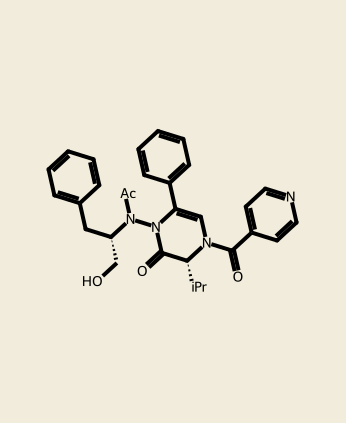 CC(=O)N([C@H](CO)Cc1ccccc1)N1C(=O)[C@@H](C(C)C)N(C(=O)c2ccncc2)C=C1c1ccccc1